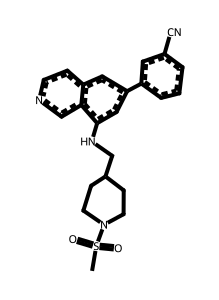 CS(=O)(=O)N1CCC(CNc2cc(-c3cccc(C#N)c3)cc3ccncc23)CC1